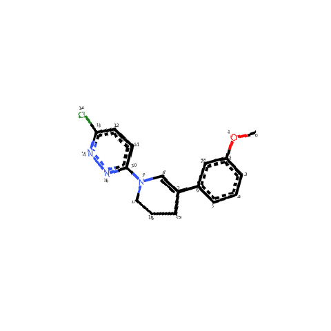 COc1cccc(C2=CN(c3ccc(Cl)nn3)CCC2)c1